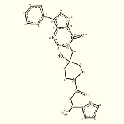 C[C@@H](CC(=O)N1CCC(O)(Cn2cnc3c(-c4ccccc4)nsc3c2=O)CC1)n1cccn1